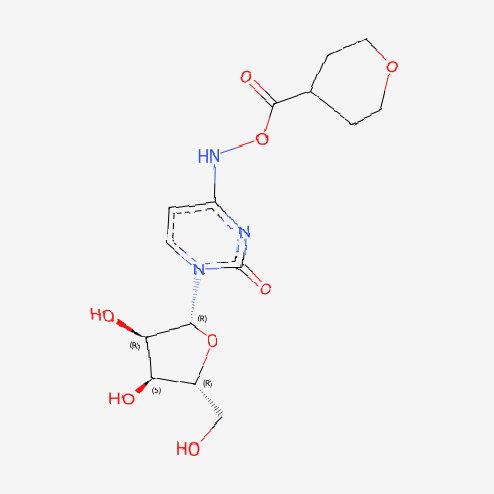 O=C(ONc1ccn([C@@H]2O[C@H](CO)[C@@H](O)[C@H]2O)c(=O)n1)C1CCOCC1